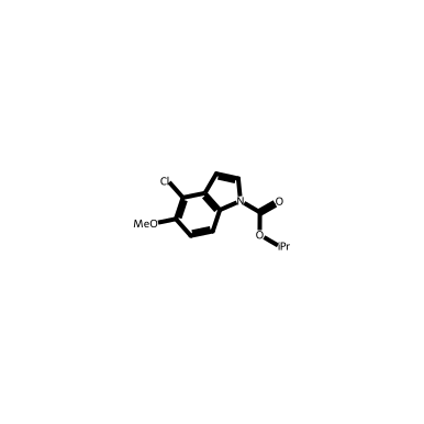 COc1ccc2c(ccn2C(=O)OC(C)C)c1Cl